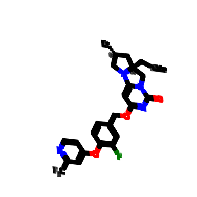 CC[C@H]1CN2c3cc(OCc4ccc(Oc5ccnc(C(F)(F)F)c5)c(F)c4)nc(=O)n3C[C@@]2(CNC)C1